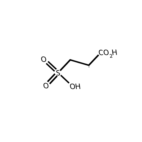 O=C(O)[CH]CS(=O)(=O)O